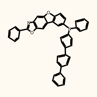 c1ccc(-c2ccc(-c3ccc(N(c4ccccc4)c4ccc5oc6cc7nc(-c8ccccc8)oc7cc6c5c4)cc3)cc2)cc1